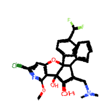 COc1nc(Cl)cc2c1C1(O)C(O)C(CN(C)C)C(c3ccccc3)C1(c1ccc(C(F)F)cc1)O2